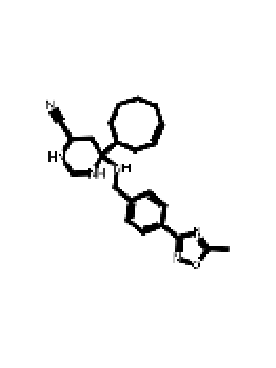 Cc1nc(-c2ccc(CNC3(C4C/C=C\CCCC4)CC(C#N)NCN3)cc2)no1